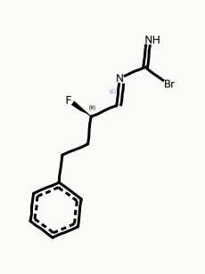 N=C(Br)/N=C/[C@H](F)CCc1ccccc1